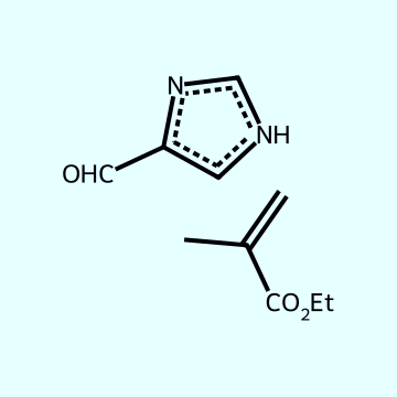 C=C(C)C(=O)OCC.O=Cc1c[nH]cn1